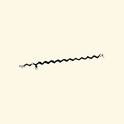 CCCCCCCCCC=CC=CC=CC=CC=CC=CC(=O)OCCN